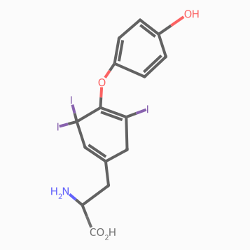 NC(CC1=CC(I)(I)C(Oc2ccc(O)cc2)=C(I)C1)C(=O)O